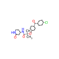 CC(C)(Oc1ccc(C(=O)c2ccc(Cl)cc2)cc1)C(=O)Nc1cc[nH]c(=O)c1